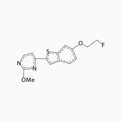 COc1nccc(-c2cc3ccc(OCCF)cc3s2)n1